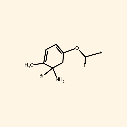 CC1=CC=C(OC(F)F)CC1(N)Br